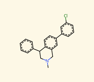 CN1Cc2cc(-c3cccc(Cl)c3)ccc2C(c2ccccc2)C1